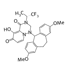 COc1ccc2c(c1)CCc1cc(OC)ccc1C2N1CN([C@H](C)C(F)(F)F)C(=O)c2c(O)c(=O)ccn21